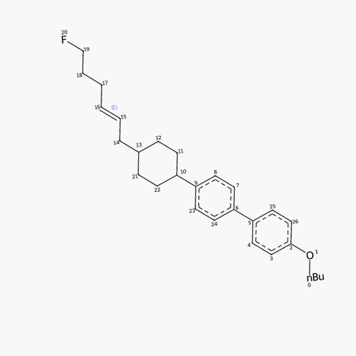 CCCCOc1ccc(-c2ccc(C3CCC(C/C=C/CCCF)CC3)cc2)cc1